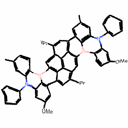 COc1ccc2c(c1)N(c1ccccc1)c1cc(C)cc3c1B2c1cc2c(C(C)C)cc4c5c(cc6c(C(C)C)cc-3c1c6c25)B1c2ccc(C)cc2N(c2ccccc2)c2cc(OC)cc-4c21